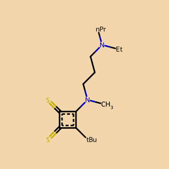 CCCN(CC)CCCN(C)c1c(C(C)(C)C)c(=S)c1=S